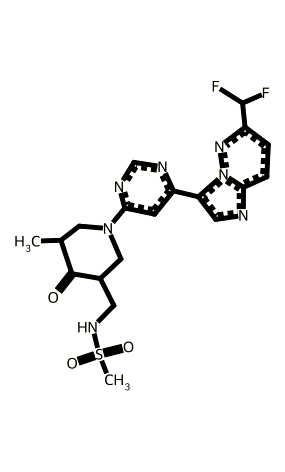 CC1CN(c2cc(-c3cnc4ccc(C(F)F)nn34)ncn2)CC(CNS(C)(=O)=O)C1=O